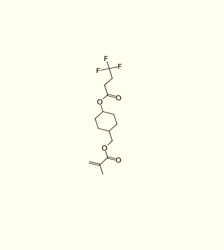 C=C(C)C(=O)OCC1CCC(OC(=O)CCC(F)(F)F)CC1